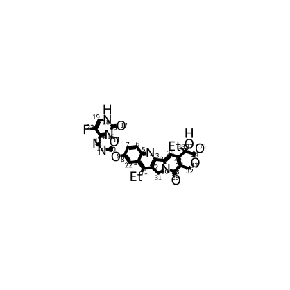 CCc1c2c(nc3ccc(OC(=O)/N=N\c4nc(=O)[nH]cc4F)cc13)-c1cc3c(c(=O)n1C2)COC(=O)[C@]3(O)CC